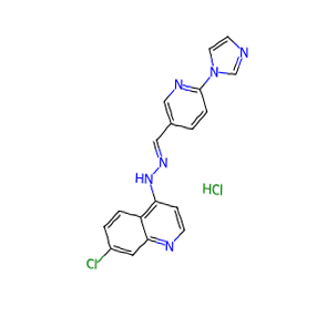 Cl.Clc1ccc2c(NN=Cc3ccc(-n4ccnc4)nc3)ccnc2c1